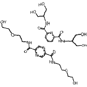 O=C(NC(CO)CO)c1cccc(C(=O)NC(CO)CO)n1.O=C(NCCOCCO)c1cnc(C(=O)NCCOCCO)cn1